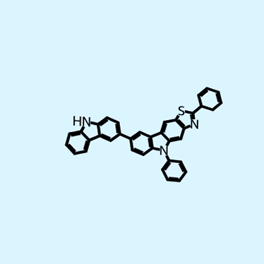 C1=CCC(c2nc3cc4c(cc3s2)c2cc(-c3ccc5[nH]c6ccccc6c5c3)ccc2n4-c2ccccc2)C=C1